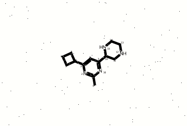 Cc1nc(C2CCC2)cc(C2CNCCN2)n1